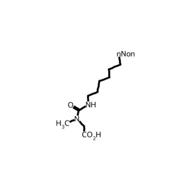 CCCCCCCCCCCCCCCNC(=O)N(C)CC(=O)O